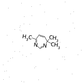 CC1=NC=NC(C)(C)C=C1